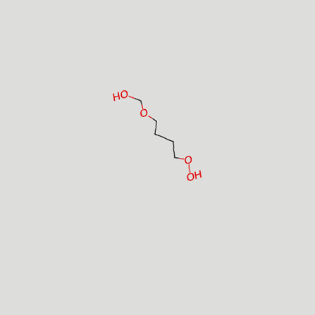 OCOCCCCOO